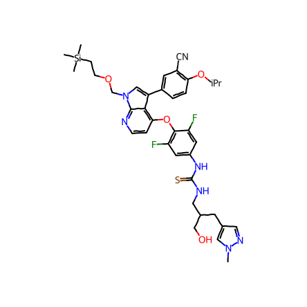 CC(C)Oc1ccc(-c2cn(COCC[Si](C)(C)C)c3nccc(Oc4c(F)cc(NC(=S)NCC(CO)Cc5cnn(C)c5)cc4F)c23)cc1C#N